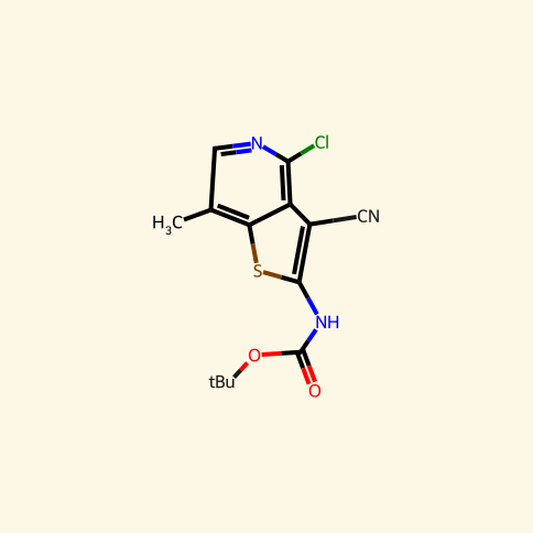 Cc1cnc(Cl)c2c(C#N)c(NC(=O)OC(C)(C)C)sc12